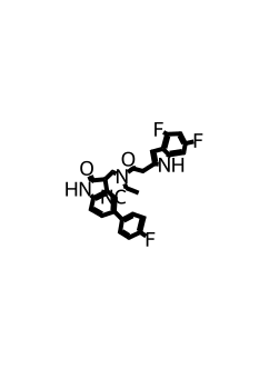 CC(C#N)N(CC1C(=O)Nc2ccc(-c3ccc(F)cc3)cc21)C(=O)Cc1cc2c(F)cc(F)cc2[nH]1